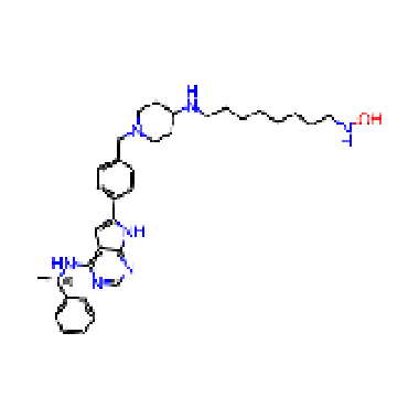 C[C@@H](Nc1ncnc2[nH]c(-c3ccc(CN4CCC(NCCCCCCCCNO)CC4)cc3)cc12)c1ccccc1